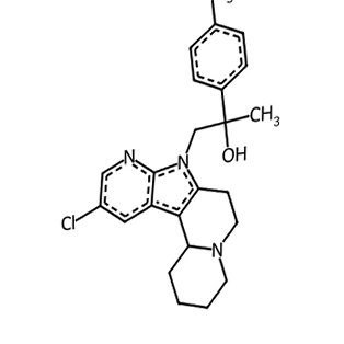 CC(O)(Cn1c2c(c3cc(Cl)cnc31)C1CCCCN1CC2)c1ccc(C(F)(F)F)cc1